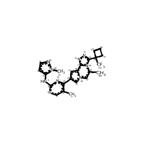 Cc1cnc(Nc2ccnn2C)nc1-c1cc2c3nnc(C4(C(F)(F)F)CCC4)n3c(C)cn2c1